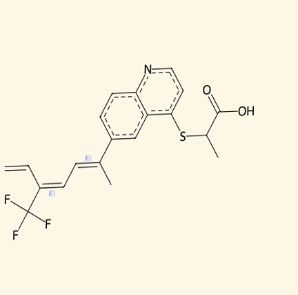 C=C/C(=C\C=C(/C)c1ccc2nccc(SC(C)C(=O)O)c2c1)C(F)(F)F